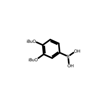 CC(C)COc1ccc(B(O)O)cc1OCC(C)C